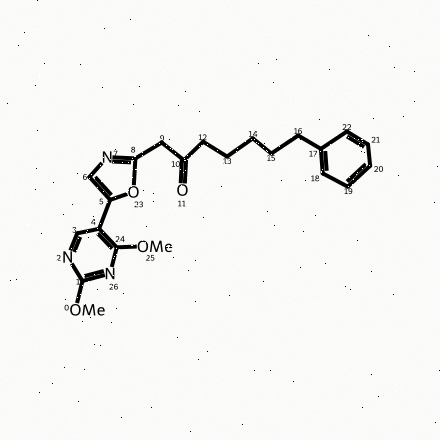 COc1ncc(-c2cnc(CC(=O)CCCCCc3ccccc3)o2)c(OC)n1